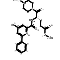 CCOC(=O)N1CCN(C(=O)[C@H](CCC(=O)OC(C)(C)C)NC(=O)c2cc(C(C)=O)cc(-c3ccccc3)n2)CC1